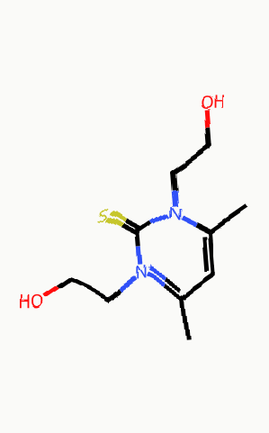 Cc1cc(C)[n+](CCO)c(=S)n1CCO